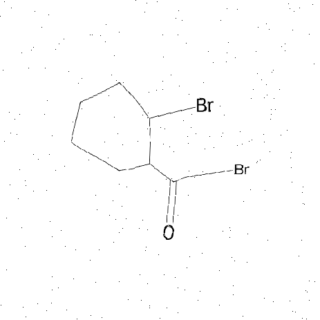 O=C(Br)C1CCCCC1Br